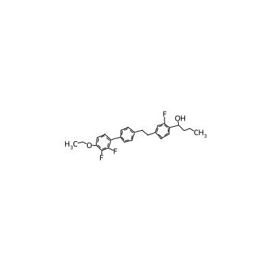 CCCC(O)c1ccc(CCc2ccc(-c3ccc(OCC)c(F)c3F)cc2)cc1F